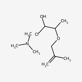 C=C(C)COC(C)C(O)Cl.CN(C)C